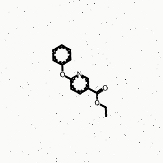 CCOC(=O)c1ccc(Oc2ccccc2)nc1